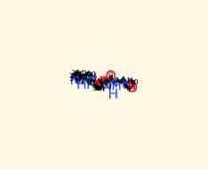 O=C(NCCCN1CCOCC1)c1cc2cc(Nc3nccc(-c4cccnc4)n3)ccc2[nH]1